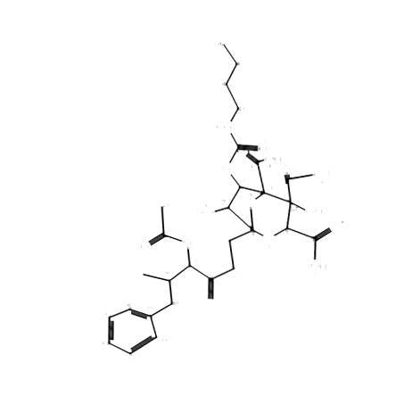 C=C(CCC12OC(C(=O)O)C(O)(C(=O)O)C(C(=O)O)(O1)C(OC(=O)OCCCC)C2O)C(OC(C)=O)C(C)Cc1ccccc1